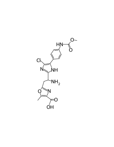 COC(=O)Nc1ccc(-c2[nH]c(C(N)Cc3nc(C(=O)O)c(C)o3)nc2Cl)cc1